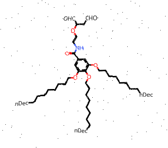 CCCCCCCCCCCCCCCCCCOc1cc(C(=O)NCCOC([C]=O)C[C]=O)cc(OCCCCCCCCCCCCCCCCCC)c1OCCCCCCCCCCCCCCCCCC